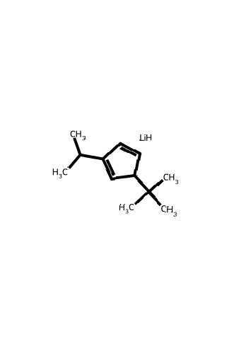 CC(C)C1=C[C](C(C)(C)C)C=C1.[LiH]